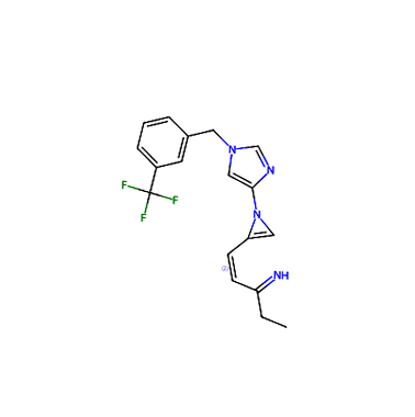 CCC(=N)/C=C\C1=CN1c1cn(Cc2cccc(C(F)(F)F)c2)cn1